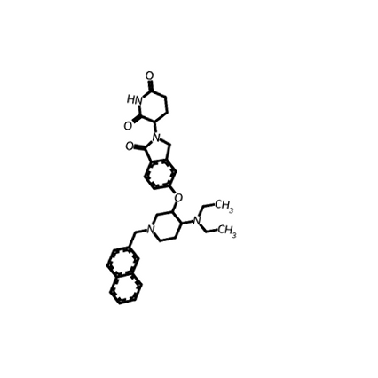 CCN(CC)C1CCN(Cc2ccc3ccccc3c2)CC1Oc1ccc2c(c1)CN(C1CCC(=O)NC1=O)C2=O